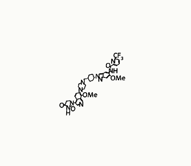 COc1cc2nn([C@H]3CC[C@H](CN4CCN(c5ccc6c(N7CCC(=O)NC7=O)cncc6c5OC)CC4)CC3)cc2cc1NC(=O)c1cccc(C(F)(F)F)n1